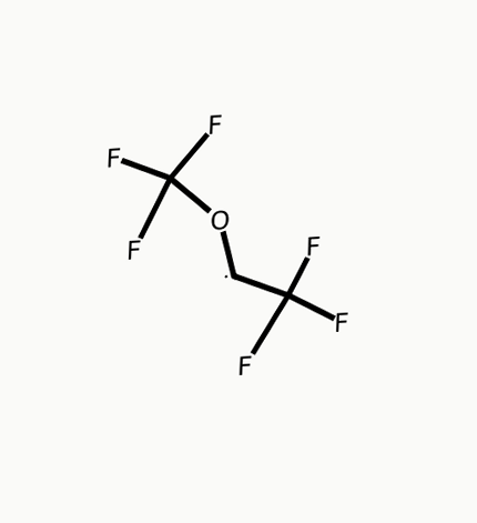 FC(F)(F)[CH]OC(F)(F)F